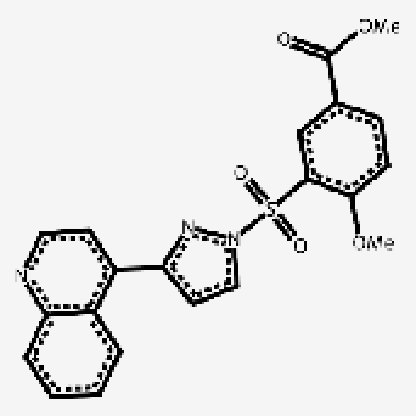 COC(=O)c1ccc(OC)c(S(=O)(=O)n2ccc(-c3ccnc4ccccc34)n2)c1